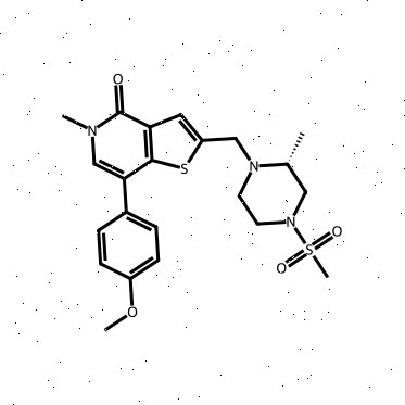 COc1ccc(-c2cn(C)c(=O)c3cc(CN4CCN(S(C)(=O)=O)C[C@H]4C)sc23)cc1